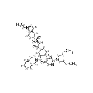 CCCCN(CCCC)c1nccc(-c2ccc(C(=O)NS(=O)(=O)c3ccc4c(ccn4CC)c3)cc2C(=O)N2CCc3ccccc3C2)n1